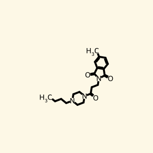 CCCCN1CCN(C(=O)CCN2C(=O)c3ccc(C)cc3C2=O)CC1